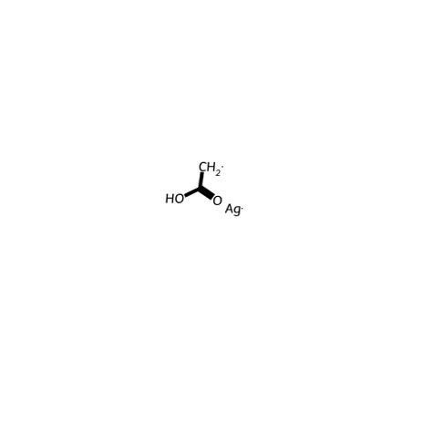 [Ag].[CH2]C(=O)O